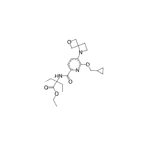 CCOC(=O)C(CC)(CC)NC(=O)c1ccc(N2CCC23COC3)c(OCC2CC2)n1